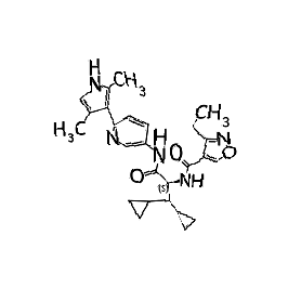 CCc1nocc1C(=O)N[C@H](C(=O)Nc1ccc(-c2c(C)c[nH]c2C)nc1)C(C1CC1)C1CC1